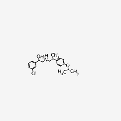 CC(C)Oc1ccc(C(C)CNCC(O)c2cccc(Cl)c2)cc1